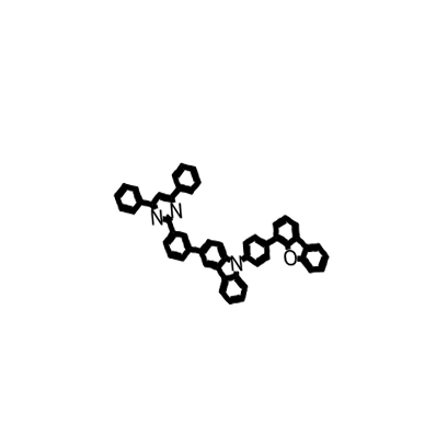 c1ccc(-c2cc(-c3ccccc3)nc(-c3cccc(-c4ccc5c(c4)c4ccccc4n5-c4ccc(-c5cccc6c5oc5ccccc56)cc4)c3)n2)cc1